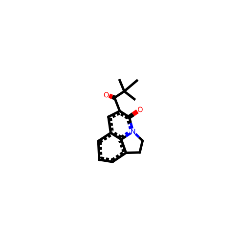 CC(C)(C)C(=O)c1cc2cccc3c2n(c1=O)CC3